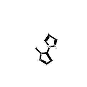 Cn1nccc1-n1cccn1